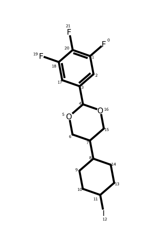 Fc1cc(C2OCC(C3CCC(I)CC3)CO2)cc(F)c1F